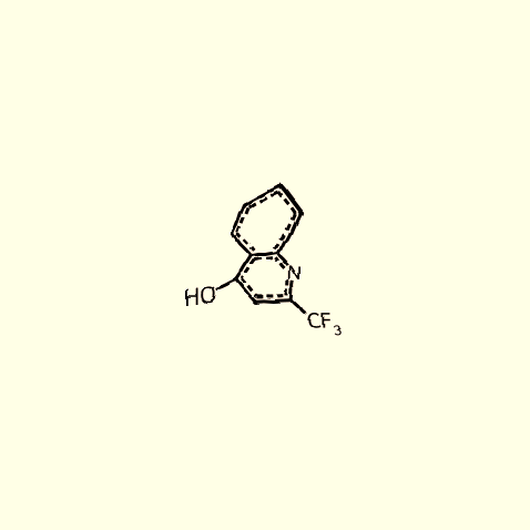 Oc1cc(C(F)(F)F)nc2ccccc12